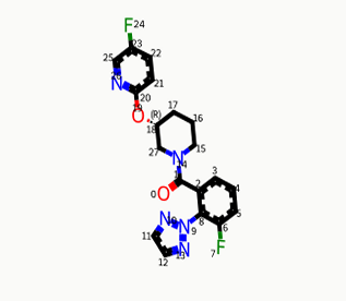 O=C(c1cccc(F)c1-n1nccn1)N1CCC[C@@H](Oc2ccc(F)cn2)C1